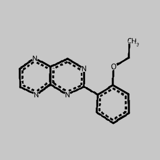 CCOc1ccccc1-c1ncc2nccnc2n1